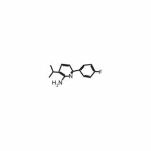 CC(C)c1ccc(-c2ccc(F)cc2)nc1N